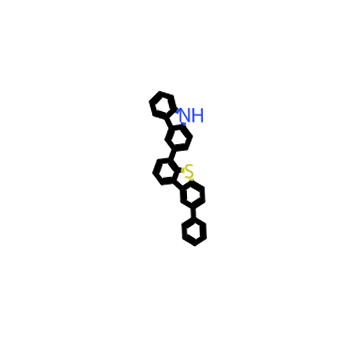 c1ccc(-c2ccc3sc4c(-c5ccc6[nH]c7ccccc7c6c5)cccc4c3c2)cc1